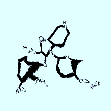 CCOC(=O)c1ccc(N(C2CCNCC2)C(Oc2cccc([N+](=O)[O-])c2N)C(C)O)nc1